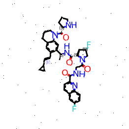 C[C@H](NC(=O)[C@@H]1C[C@@H](F)CN1C(=O)CNC(=O)c1ccc2cc(F)ccc2n1)c1cc2c(cc1/C=C/C1CC1)CCCN2C(=O)[C@@H]1CCCN1